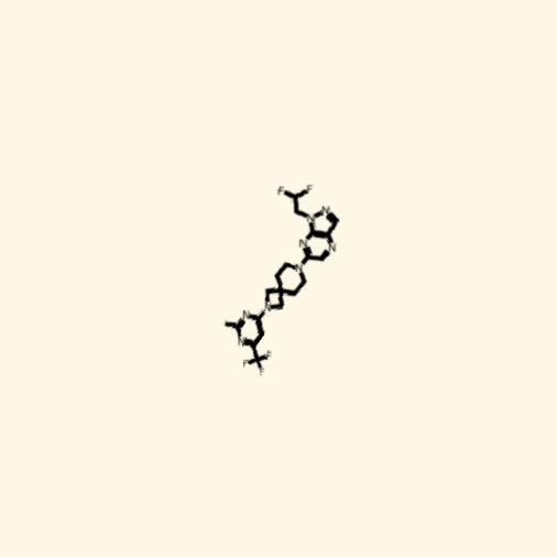 Cc1nc(N2CC3(CCN(c4cnc5cnn(CC(F)F)c5n4)CC3)C2)cc(C(F)(F)F)n1